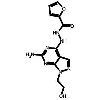 Nc1nc(NNC(=O)c2ccco2)c2cnn(CCO)c2n1